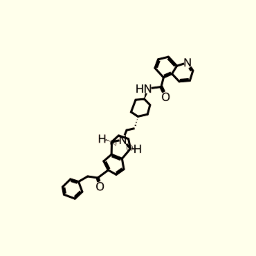 O=C(Cc1ccccc1)c1ccc2c(c1)[C@H]1CC[C@@H]2N1CC[C@H]1CC[C@H](NC(=O)c2cccc3ncccc23)CC1